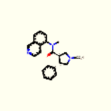 CN(C(=O)[C@H]1CN(C(=O)O)C[C@@H]1c1ccccc1)c1cccc2cnccc12